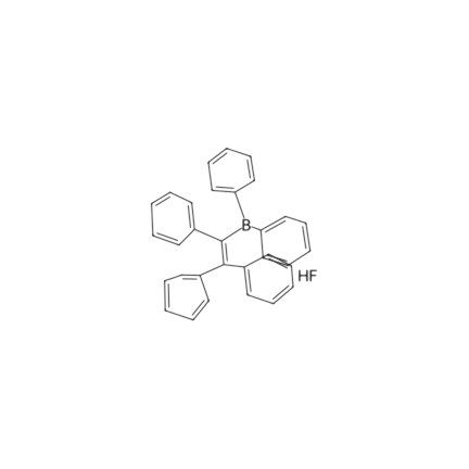 F.c1ccc(B(C(=C(c2ccccc2)c2ccccc2)c2ccccc2)c2ccccc2)cc1